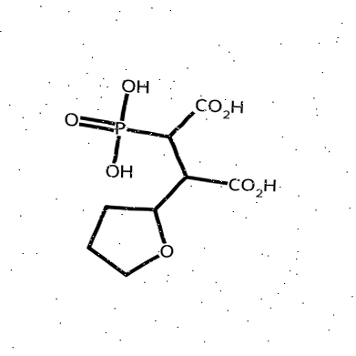 O=C(O)C(C1CCCO1)C(C(=O)O)P(=O)(O)O